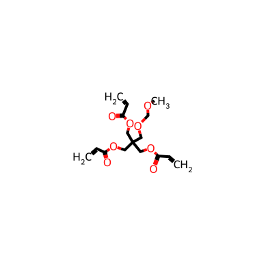 C=CC(=O)OCC(COCOC)(COC(=O)C=C)COC(=O)C=C